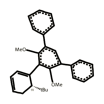 COc1c(-c2ccccc2)cc(-c2ccccc2)c(OC)c1C1=CC=CC[C@H]1C(C)(C)C